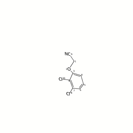 N#CCOc1cccc(Cl)c1Cl